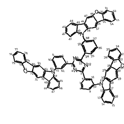 c1cc(-c2nc(-c3cccc(-n4c5ccccc5c5cc6oc7ccccc7c6cc54)c3)nc(-c3cccc(-n4c5ccccc5c5cc6oc7ccccc7c6cc54)c3)n2)cc(-n2c3ccccc3c3cc4oc5ccccc5c4cc32)c1